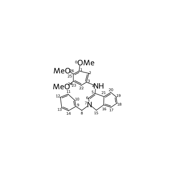 COc1cc(NC2=CN(Cc3ccccc3)Cc3ccccc32)cc(OC)c1OC